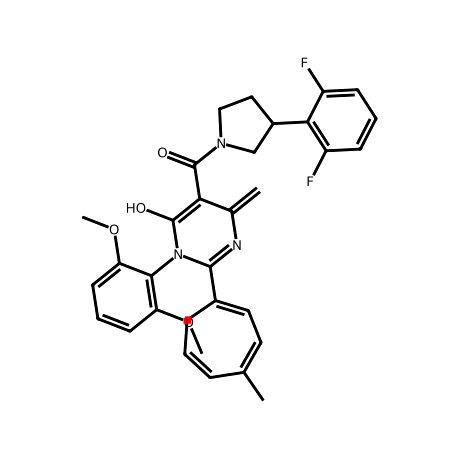 C=C1N=C(C2=CC=C(C)C=CC2)N(c2c(OC)cccc2OC)C(O)=C1C(=O)N1CCC(c2c(F)cccc2F)C1